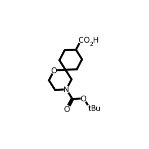 CC(C)(C)OC(=O)N1CCOC2(CCC(C(=O)O)CC2)C1